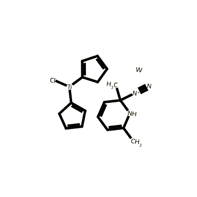 CC1=CC=CC(C)([N+]#N)N1.[Cl][Ti]([C]1=CC=CC1)[C]1=CC=CC1.[W]